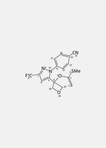 CSC(=S)OC1(c2cc(C(F)(F)F)nn2-c2ccc(C#N)cc2)COC1